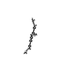 C=CC(=O)OCCCCC(=O)c1ccc(C#Cc2ccc(-c3ccc(C(=O)Oc4ccc(C#Cc5ccc(C(=O)CCCCOC(=O)C=C)cc5)cc4C(=O)OC)cc3)cc2)cc1